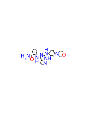 NC(=O)C1C2CCC(C2)C1Nc1nc(Nc2ccc(N3CCOCC3)cc2)[nH]c2nccc1-2